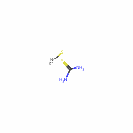 N#C[S-].NC(N)=S.[K+]